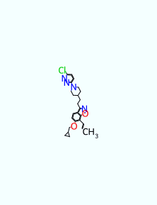 CC=Cc1c(OCC2CC2)ccc2c(CCC3CCN(c4ccc(Cl)nn4)CC3)noc12